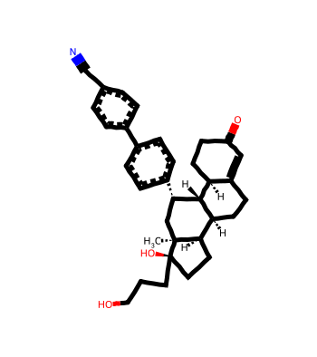 C[C@]12C[C@H](c3ccc(-c4ccc(C#N)cc4)cc3)[C@H]3[C@@H](CCC4=CC(=O)CC[C@@H]43)[C@H]1CC[C@]2(O)CCCO